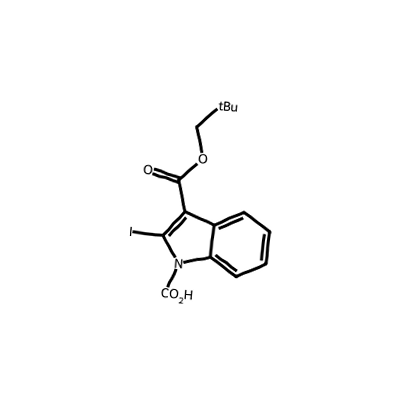 CC(C)(C)COC(=O)c1c(I)n(C(=O)O)c2ccccc12